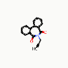 C#CCn1c(=O)c2ccccc2c2ccccc2c1=O